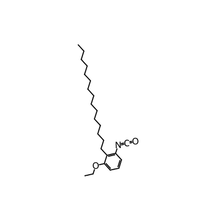 CCCCCCCCCCCCCCCc1c(N=C=O)cccc1OCC